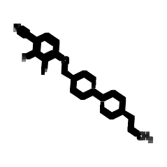 CCC[C@H]1CC[C@H]([C@H]2CC[C@H](COc3ccc(C#N)c(F)c3F)CC2)CC1